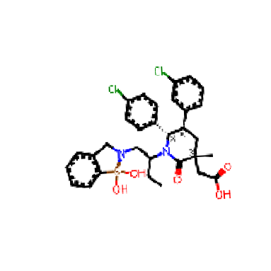 CCC(CN1Cc2ccccc2S1(O)O)N1C(=O)[C@@](C)(CC(=O)O)C[C@H](c2cccc(Cl)c2)[C@H]1c1ccc(Cl)cc1